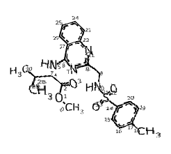 COC(=O)[C@@H](Nc1nc(CNS(=O)(=O)c2ccc(C)cc2)nc2ccccc12)C(C)C